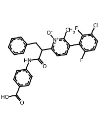 Cc1c(-c2c(F)ccc(Cl)c2F)ccc(C(Cc2ccccc2)C(=O)Nc2ccc(C(=O)O)cc2)[n+]1[O-]